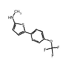 CNc1ccc(-c2ccc(OC(F)(F)F)cc2)s1